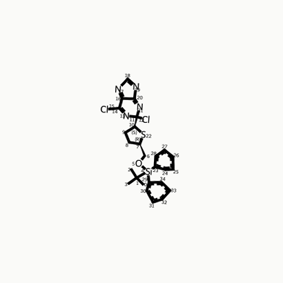 CC(C)(C)[Si](OC[C@H]1CC[C@@H](C2(Cl)N=C(Cl)C3=NC=NC3=N2)S1)(c1ccccc1)c1ccccc1